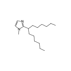 CCCCCCC(CCCCCC)c1nccn1C